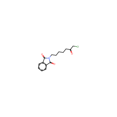 O=C(CCl)CCCCCN1C(=O)c2ccccc2C1=O